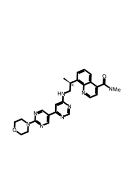 CNC(=O)c1ccnc2c([C@H](C)CNc3cc(-c4cnc(N5CCOCC5)nc4)ncn3)cccc12